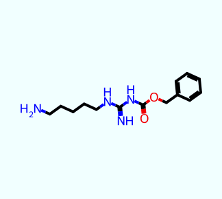 N=C(NCCCCCN)NC(=O)OCc1ccccc1